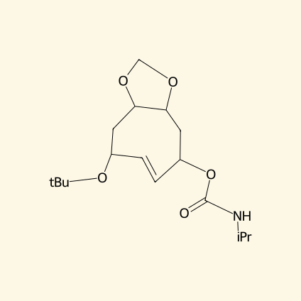 CC(C)NC(=O)OC1/C=C/C(OC(C)(C)C)CC2OCOC2C1